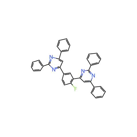 Fc1ccc(-c2cc(-c3ccccc3)nc(-c3ccccc3)n2)cc1-c1cc(-c2ccccc2)nc(-c2ccccc2)n1